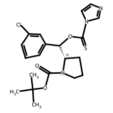 CC(C)(C)OC(=O)N1CCC[C@H]1C(OC(=S)n1ccnc1)c1cccc(Cl)c1